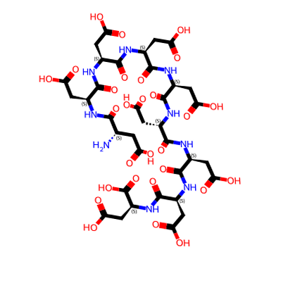 N[C@@H](CC(=O)O)C(=O)N[C@@H](CC(=O)O)C(=O)N[C@@H](CC(=O)O)C(=O)N[C@@H](CC(=O)O)C(=O)N[C@@H](CC(=O)O)C(=O)N[C@@H](CC(=O)O)C(=O)N[C@@H](CC(=O)O)C(=O)N[C@@H](CC(=O)O)C(=O)N[C@@H](CC(=O)O)C(=O)O